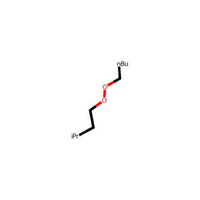 CCCCCOOCCC(C)C